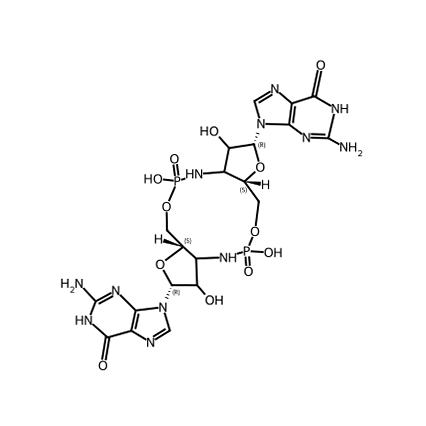 Nc1nc2c(ncn2[C@@H]2O[C@@H]3COP(=O)(O)NC4C(O)[C@H](n5cnc6c(=O)[nH]c(N)nc65)O[C@@H]4COP(=O)(O)NC3C2O)c(=O)[nH]1